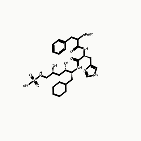 CCCCCC(Cc1ccccc1)C(=O)N[C@@H](Cc1c[nH]cn1)C(=O)N[C@@H](CC1CCCCC1)[C@@H](O)C[C@H](O)CNS(=O)(=O)CCC